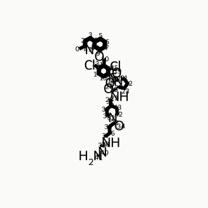 Cc1ccc2cccc(OCc3c(Cl)ccc(S(=O)(=O)N4CCC[C@H]4C(=O)NCC4CCN(C(=O)CCCNC=NN)CC4)c3Cl)c2n1